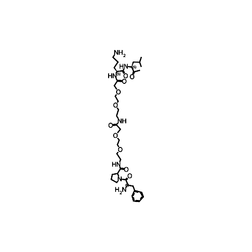 CC(=O)[C@H](CC(C)C)NC(=O)[C@H](CCCN)NC(=O)COCCOCCNC(=O)COCCOCCNC(=O)C1CCCN1C(=O)[C@H](N)Cc1ccccc1